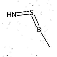 CB=S=N